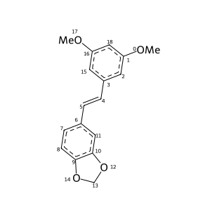 COc1cc(C=Cc2ccc3c(c2)OCO3)cc(OC)c1